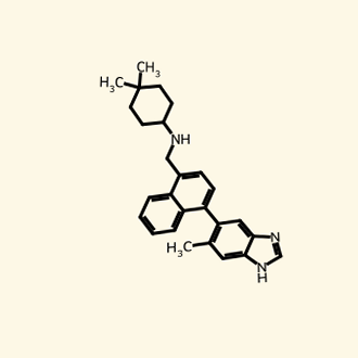 Cc1cc2[nH]cnc2cc1-c1ccc(CNC2CCC(C)(C)CC2)c2ccccc12